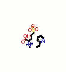 C=Cc1ccccn1.C[N+](C)(C)C(CCCS(=O)(=O)[O-])C(=O)O